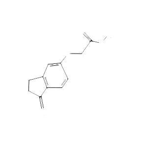 COC(=O)COc1ccc2c(c1)CCC2=O